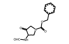 O=CNC1CN(C(=O)OCc2ccccc2)CC1=O